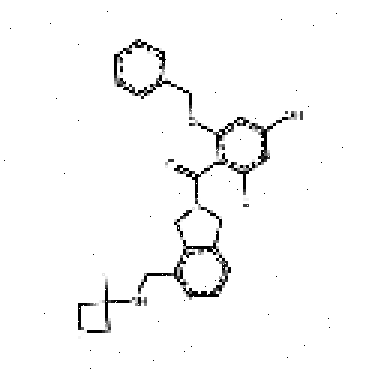 CC1(NCc2cccc3c2CN(C(=O)c2c(O)cc(O)cc2OCc2ccccc2)C3)COC1